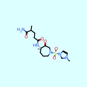 CC(C[CH]C(=O)N[C@H]1CCCN(S(=O)(=O)N2C=CN(C)C2)CC1=O)C(N)=O